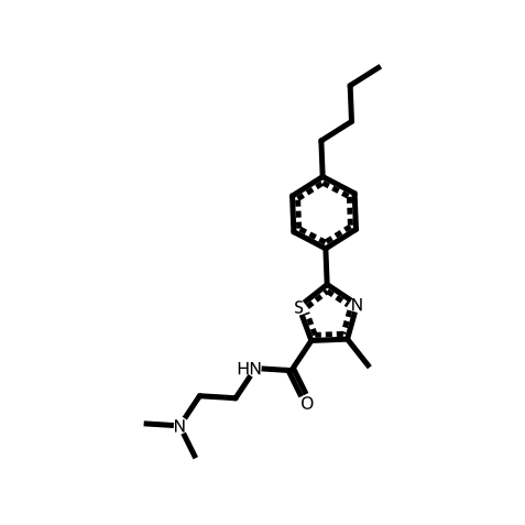 CCCCc1ccc(-c2nc(C)c(C(=O)NCCN(C)C)s2)cc1